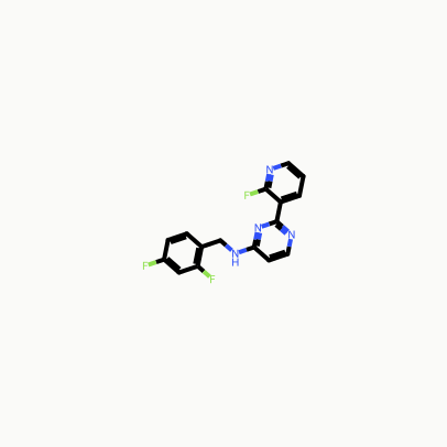 Fc1ccc(CNc2ccnc(-c3cccnc3F)n2)c(F)c1